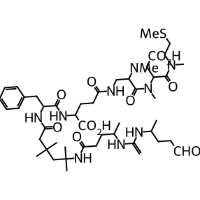 C=C(NC(C)CCC=O)NC(C)CCC(=O)NC(C)(C)CC(C)(C)CC(=O)NC(Cc1ccccc1)C(=O)NC(CCC(=O)NCC(NC)C(=O)N(C)C(CC(=O)O)C(=O)N(C)CCSC)C(=O)O